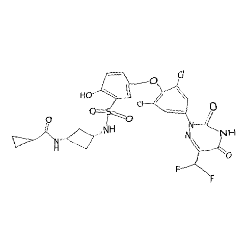 O=C(N[C@H]1C[C@@H](NS(=O)(=O)c2cc(Oc3c(Cl)cc(-n4nc(C(F)F)c(=O)[nH]c4=O)cc3Cl)ccc2O)C1)C1CC1